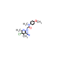 COc1ccc(N(C)C(=O)CNc2nc(C)c(Cl)c(C)c2C#N)cc1